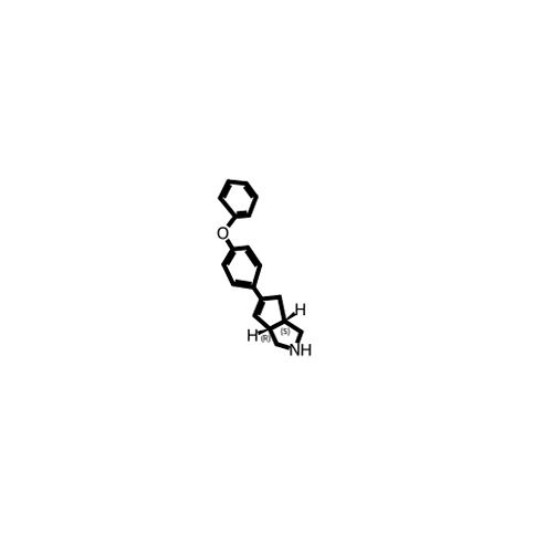 C1=C(c2ccc(Oc3ccccc3)cc2)C[C@@H]2CNC[C@H]12